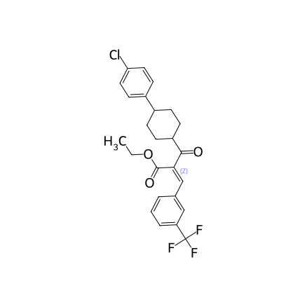 CCOC(=O)/C(=C\c1cccc(C(F)(F)F)c1)C(=O)C1CCC(c2ccc(Cl)cc2)CC1